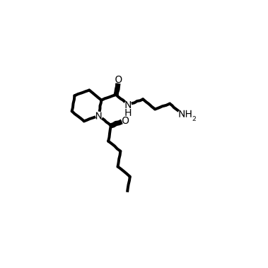 CCCCCC(=O)N1CCCCC1C(=O)NCCCN